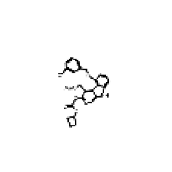 COCc1c(OC(=O)OC2CCC2)ncc2[nH]c3cccc(OCc4cccc(Cl)c4)c3c12